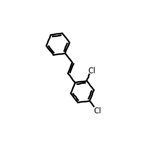 Clc1ccc(C=Cc2ccccc2)c(Cl)c1